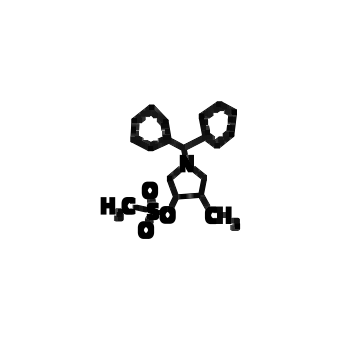 CC1CN(C(c2ccccc2)c2ccccc2)CC1OS(C)(=O)=O